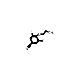 [CH2]CCOc1c(F)cc(C#N)cc1F